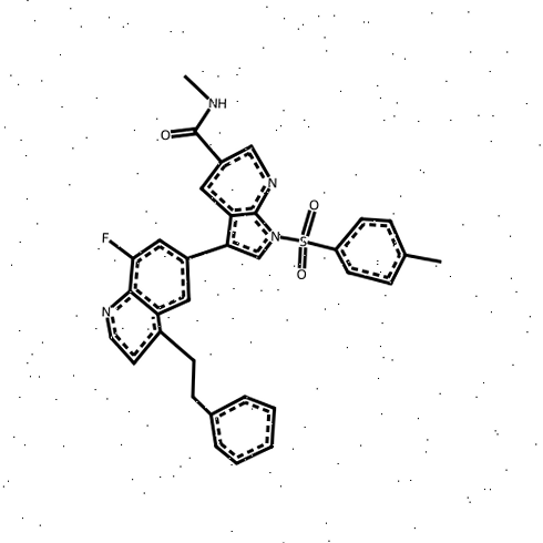 CNC(=O)c1cnc2c(c1)c(-c1cc(F)c3nccc(CCc4ccccc4)c3c1)cn2S(=O)(=O)c1ccc(C)cc1